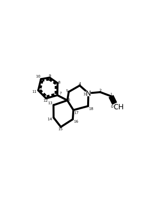 C#CCN1CCC2(c3ccccc3)CCCCC2C1